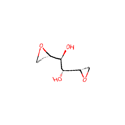 O[C@H]([C@H](O)[C@@H]1CO1)[C@@H]1CO1